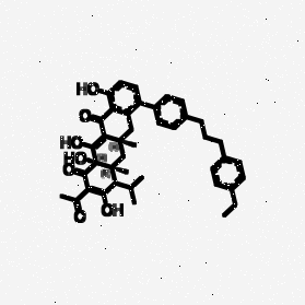 CCc1ccc(CCCc2ccc(-c3ccc(O)c4c3C[C@]3(C)C[C@]5(C)C(C(C)C)C(O)=C(C(C)=O)C(=O)[C@]5(O)C(O)=C3C4=O)cc2)cc1